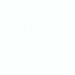 Cc1cnc(N[C@H]2CC[C@H](N[C@H](C)[C@@H](C)OCc3nn[nH]n3)CC2)cc1-c1cccc(NCC2(C#N)CCOCC2)n1